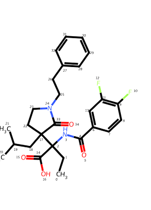 CCC(NC(=O)c1ccc(F)c(F)c1)(C(=O)O)C1(CC(C)C)CCN(CCc2ccccc2)C1=O